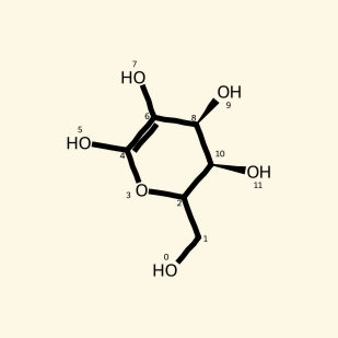 OCC1OC(O)=C(O)[C@@H](O)[C@H]1O